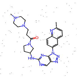 Cc1ccc2cc(-n3nnc4cnc(NC5CCN(C(=O)CCN6CCN(C)CC6)C5)nc43)ccc2n1